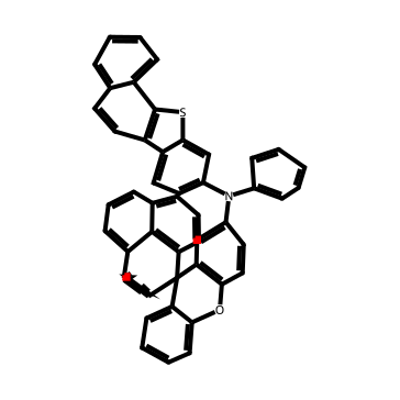 c1ccc(N(c2ccc3c(c2)C2(c4ccccc4O3)c3ccccc3-c3cccc4cccc2c34)c2ccc3c(c2)sc2c4ccccc4ccc32)cc1